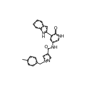 Cc1ccc(Cn2cc(C(=O)Nc3c[nH]c(=O)c(-c4cc5ccccc5[nH]4)c3)cn2)cc1